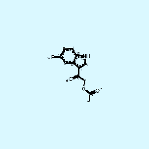 CC(=O)OCC(=O)c1c[nH]c2ccc(F)cc12